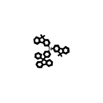 CC1(C)c2ccccc2-c2cc(N(c3ccc(C4(c5ccccc5)c5ccccc5-c5ccccc54)cc3)c3ccc4c(c3)C(C)(C)c3ccccc3-4)ccc21